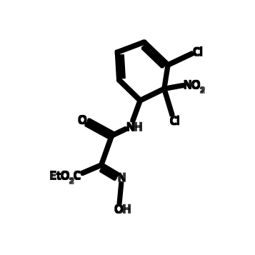 CCOC(=O)C(=NO)C(=O)NC1C=CC=C(Cl)C1(Cl)[N+](=O)[O-]